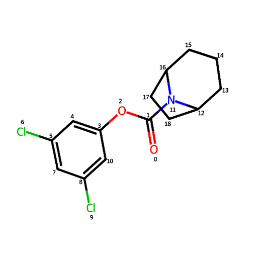 O=C(Oc1cc(Cl)cc(Cl)c1)N1C2CCCC1CC2